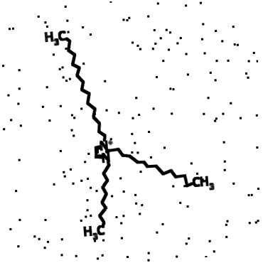 CCCCCCCCCCCCCCCC[n+]1ccn(CCCCCCCCCC)c1CCCCCCCCCCCCC